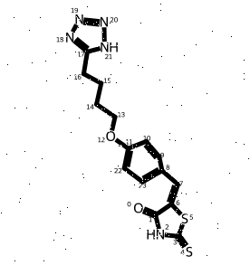 O=C1NC(=S)S/C1=C/c1ccc(OCCCCc2nnn[nH]2)cc1